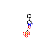 O=S(=O)([O-])CCCO[n+]1ccc(-c2ccccc2)cc1